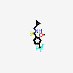 COc1cc(C(F)(F)F)ccc1C(=S)NCC1CC1